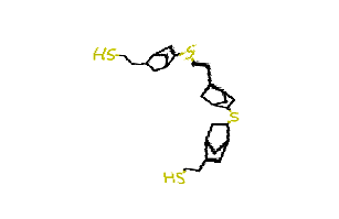 SCCC1CC2CC1CC2SCCC1CC2CC1CC2SC1CC2CC1CC2CCS